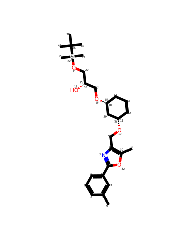 Cc1cccc(-c2nc(CO[C@H]3CCC[C@@H](OC[C@H](O)CO[Si](C)(C)C(C)(C)C)C3)c(C)o2)c1